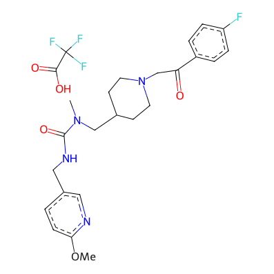 COc1ccc(CNC(=O)N(C)CC2CCN(CC(=O)c3ccc(F)cc3)CC2)cn1.O=C(O)C(F)(F)F